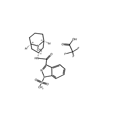 CN1[C@@H]2CCC[C@H]1C[C@H](NC(=O)c1nn(S(C)(=O)=O)c3ccccc13)C2.O=C(O)C(F)(F)F